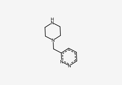 c1cnnc(CN2CCNCC2)c1